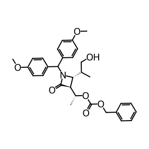 COc1ccc(C(c2ccc(OC)cc2)N2C(=O)[C@H]([C@@H](C)OC(=O)OCc3ccccc3)[C@H]2C(C)CO)cc1